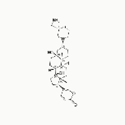 C[C@]12CC[C@H](N3CCO[C@@H](CN)C3)C[C@@]1(O)CC[C@@H]1[C@@H]2CC[C@]2(C)[C@@H](c3ccc(=O)oc3)CC[C@]12O